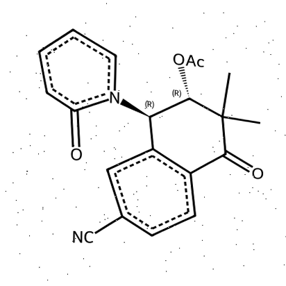 CC(=O)O[C@H]1[C@H](n2ccccc2=O)c2cc(C#N)ccc2C(=O)C1(C)C